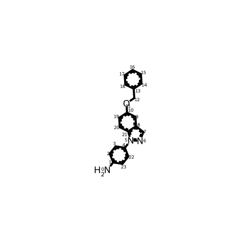 Nc1ccc(-n2ncc3cc(OCc4ccccc4)ccc32)cc1